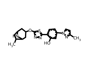 Cc1ccn(-c2ccc(-c3nnc(OC4CC5CC(C)C(C4)N5)s3)c(O)c2)n1